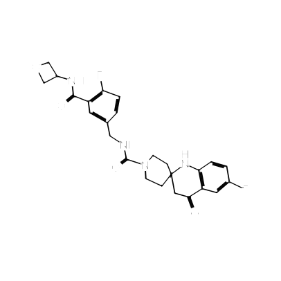 O=C(NC1COC1)c1cc(CNC(=O)N2CCC3(CC2)CC(=O)c2cc(F)ccc2N3)ccc1F